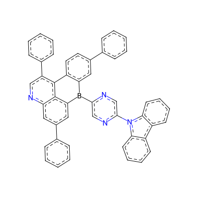 c1ccc(-c2ccc3c(c2)B(c2cnc(-n4c5ccccc5c5ccccc54)cn2)c2cc(-c4ccccc4)cc4ncc(-c5ccccc5)c-3c24)cc1